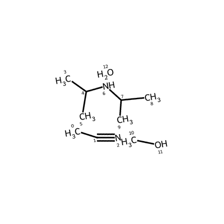 CC#N.CC(C)NC(C)C.CO.O